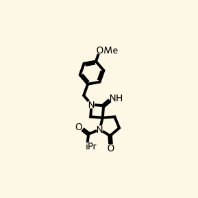 COc1ccc(CN2CC3(CCC(=O)N3C(=O)C(C)C)C2=N)cc1